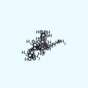 C[C@@H]1CCC2(C(=O)O[C@@H]3O[C@H](CO)C(NC(=O)CCCCCCCN)C(O)C3O[C@@H]3O[C@H](C)C(O[C@@H]4OC[C@@H](O)C(O)C4O)C(O)C3O)C(C1)C1=C3CC4C5(C)CCC(O)C(C)(C=O)[C@@H]5CC[C@@]34[C@]1(C)C[C@H]2O